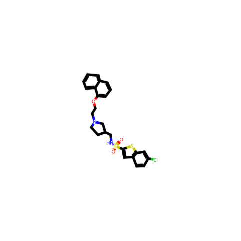 O=S(=O)(NCC1CCN(CCOc2cccc3ccccc23)C1)c1cc2ccc(Cl)cc2s1